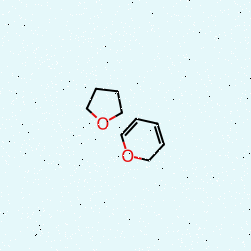 C1=CCOC=C1.C1CCOC1